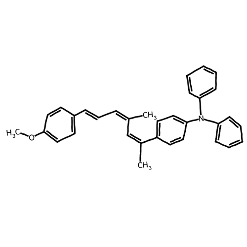 COc1ccc(C=CC=C(C)C=C(C)c2ccc(N(c3ccccc3)c3ccccc3)cc2)cc1